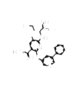 CCC[C@@H](Nc1nc(Nc2cncc(-c3ccccc3)c2)c(C(N)=O)cc1F)[C@H](C)N